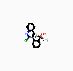 CC(C)(O)c1ccccc1-c1cc2ccccc2nc1Cl